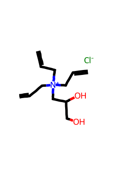 C=CC[N+](CC=C)(CC=C)CC(O)CO.[Cl-]